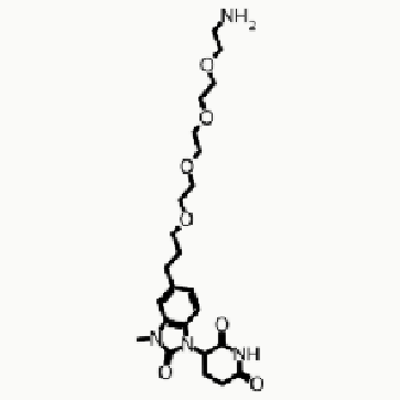 Cn1c(=O)n(C2CCC(=O)NC2=O)c2ccc(CCCOCCOCCOCCOCCN)cc21